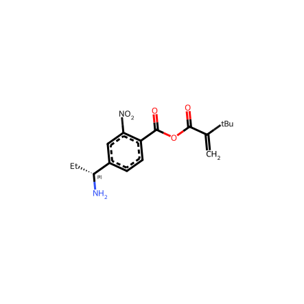 C=C(C(=O)OC(=O)c1ccc([C@H](N)CC)cc1[N+](=O)[O-])C(C)(C)C